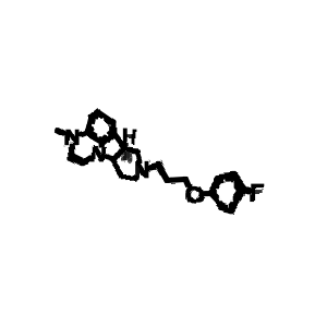 CN1CCN2c3c(cccc31)[C@@H]1CN(CCCOc3ccc(F)cc3)CCC12